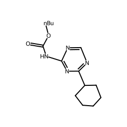 CCCCOC(=O)Nc1ncnc(C2CCCCC2)n1